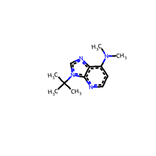 CN(C)c1ccnc2c1ncn2C(C)(C)C